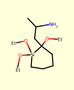 CCOC1(CC(C)N)CCCC[Si]1(OCC)OCC